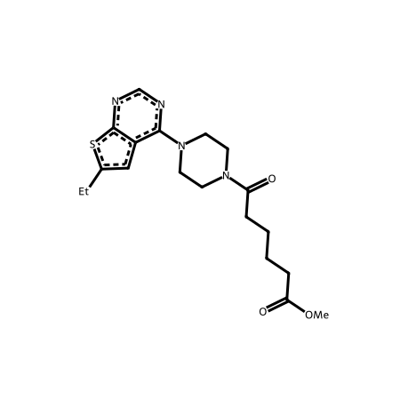 CCc1cc2c(N3CCN(C(=O)CCCCC(=O)OC)CC3)ncnc2s1